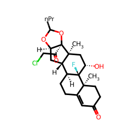 CCCC1O[C@@H]2C[C@H]3[C@@H]4CCC5=CC(=O)CC[C@]5(C)[C@@]4(F)[C@@H](O)C[C@]3(C)[C@]2(C(=O)CCl)O1